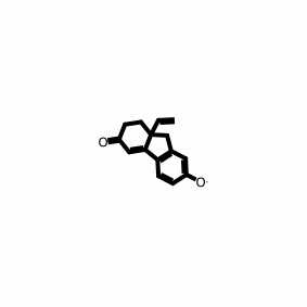 C=CC12CCC(=O)C=C1c1ccc([O])cc1C2